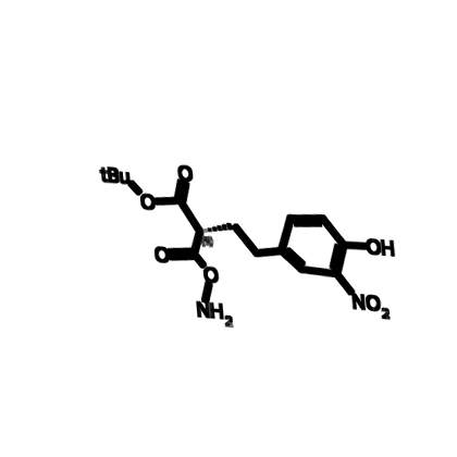 CC(C)(C)OC(=O)[C@H](CCc1ccc(O)c([N+](=O)[O-])c1)C(=O)ON